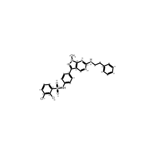 Cn1nc(-c2ccc(NS(=O)(=O)c3cccc(Cl)c3Cl)cc2)c2cnc(NCCc3ccccc3)nc21